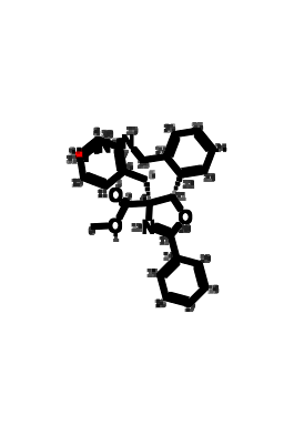 COC(=O)[C@]1(Cc2ccccc2)N=C(c2ccccc2)O[C@H]1c1ccccc1CN=[N+]=[N-]